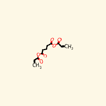 C=CC(=O)OC(=O)CCCC(=O)OC(=O)C=C